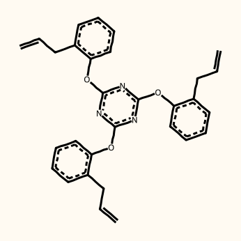 C=CCc1ccccc1Oc1nc(Oc2ccccc2CC=C)nc(Oc2ccccc2CC=C)n1